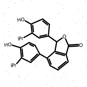 CC(C)c1cc(-c2cccc3c2C(c2ccc(O)c(C(C)C)c2)OC3=O)ccc1O